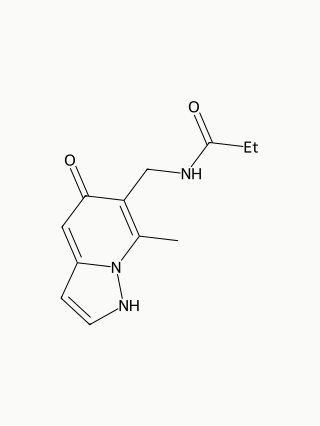 CCC(=O)NCc1c(C)n2[nH]ccc2cc1=O